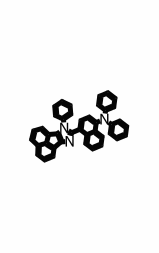 c1ccc(N(c2ccccc2)c2ccc(-c3nc4c(n3-c3ccccc3)-c3cccc5cccc-4c35)c3ccccc23)cc1